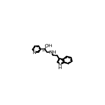 O[C@@H](CNCCc1c[nH]c2[c]cccc12)c1cccnc1